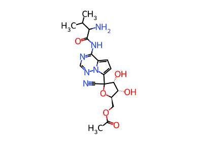 CC(=O)OC[C@H]1OC(C#N)(c2ccc3c(NC(=O)C(N)C(C)C)ncnn23)[C@H](O)[C@@H]1O